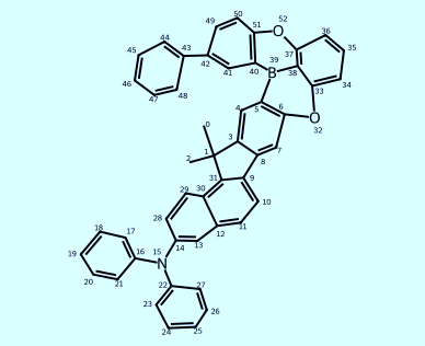 CC1(C)c2cc3c(cc2-c2ccc4cc(N(c5ccccc5)c5ccccc5)ccc4c21)Oc1cccc2c1B3c1cc(-c3ccccc3)ccc1O2